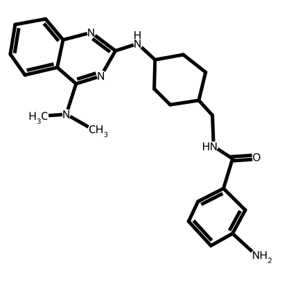 CN(C)c1nc(NC2CCC(CNC(=O)c3cccc(N)c3)CC2)nc2ccccc12